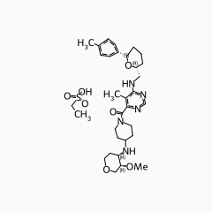 CCS(=O)(=O)O.CO[C@H]1COCC[C@H]1NC1CCN(C(=O)c2ncnc(NC[C@H]3CCC[C@@H](c4ccc(C)cc4)O3)c2C)CC1